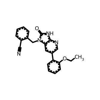 CCOc1ccccc1-c1cnc2[nH]c(=O)n(Cc3ccccc3C#N)c2c1